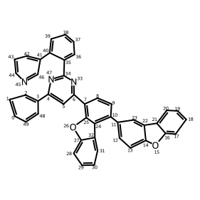 c1ccc(-c2cc(-c3ccc(-c4ccc5oc6ccccc6c5c4)c4c3oc3ccccc34)nc(-c3ccccc3-c3cccnc3)n2)cc1